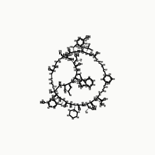 CCC[C@@H]1NC(=O)[C@H](Cc2c[nH]c3ncccc23)NC(=O)[C@@H]([C@@H](C)O)NC(=O)[C@@H]2CCNC(=O)CCCC[C@H](NC1=O)C(=O)N[C@@H](Cc1ccc(O)cc1)C(=O)N[C@@H](C1CCCCC1)C(=O)N[C@@H]([C@@H](C)O)C(=O)N[C@H](C(N)=O)CSCc1cccc(c1)CSCCC(=O)N[C@@H](C(C)(C)C)C(=O)N[C@@H](Cc1ccc(O)cc1)C(=O)N2